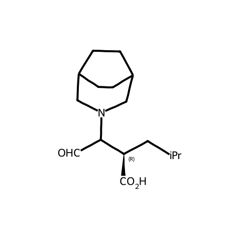 CC(C)C[C@@H](C(=O)O)C(C=O)N1CC2CCC(CC2)C1